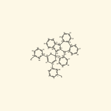 Cc1cccc(C2=CC(C)(n3c4c(c5ccccc53)-c3ccccc3-c3ccccc3N4c3ccccc3)CC(c3cccc(C)n3)=C2)n1